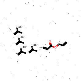 C=C(C)C(=O)[O-].C=C(C)C(=O)[O-].C=C(C)C(=O)[O-].C=C(C)C(=O)[O-].C=CCOC(=O)C=C.[C+4]